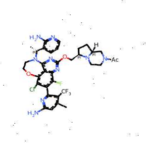 CC(=O)N1CCN2[C@@H](COc3nc4c5c(c(Cl)c(-c6nc(N)cc(C)c6C(F)(F)F)c(F)c5n3)OCCN4[C@H](C)c3cccnc3N)CC[C@@H]2C1